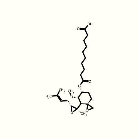 CO[C@@H]1[C@H](OC(=O)CCCCCCCCC(=O)O)CC[C@]2(CO2)[C@H]1[C@@]1(C)O[C@@H]1CC=C(C)C